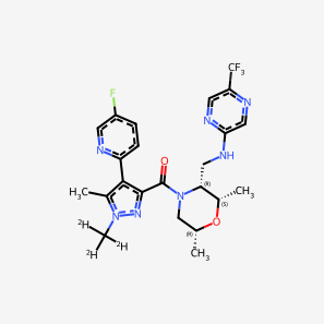 [2H]C([2H])([2H])n1nc(C(=O)N2C[C@@H](C)O[C@@H](C)[C@H]2CNc2cnc(C(F)(F)F)cn2)c(-c2ccc(F)cn2)c1C